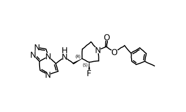 Cc1ccc(COC(=O)N2CC[C@H](CNc3cncc4nncn34)[C@H](F)C2)cc1